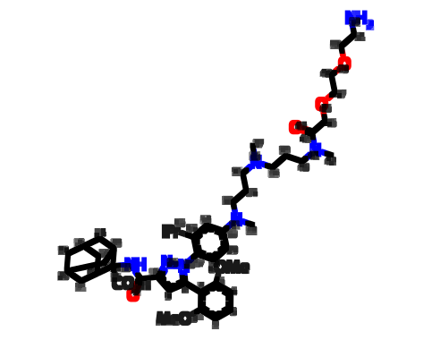 COc1cccc(OC)c1-c1cc(C(=O)NC2(C(=O)O)C3CC4CC(C3)CC2C4)nn1-c1ccc(N(C)CCCN(C)CCCN(C)C(=O)COCCOCCN)cc1C(C)C